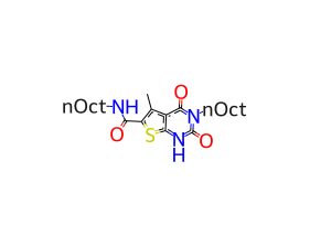 CCCCCCCCNC(=O)c1sc2[nH]c(=O)n(CCCCCCCC)c(=O)c2c1C